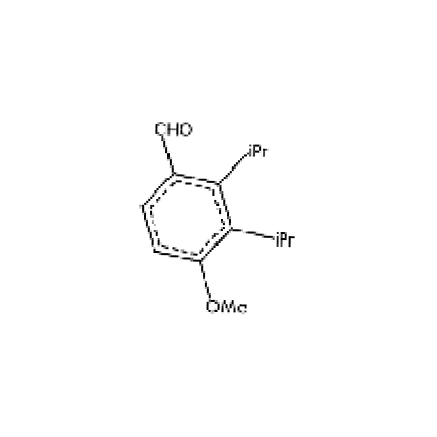 COc1ccc(C=O)c(C(C)C)c1C(C)C